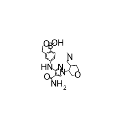 CN=CC1CCOCC1n1cc(C(N)=O)c(Nc2ccc3c(c2)CCOB3O)n1